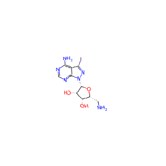 NC[C@H]1O[C@@H](n2nc(I)c3c(N)ncnc32)[C@@H](O)[C@H]1O